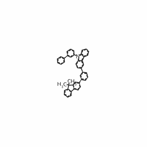 CC1(C)c2ccccc2-c2ccc(-c3cccc(-c4ccc5c(c4)c4ccccc4n5-c4cccc(-c5ccccc5)c4)c3)cc21